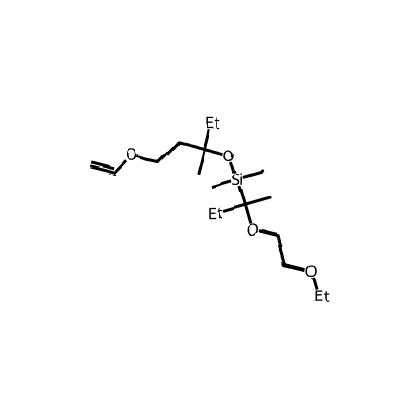 C=COCCC(C)(CC)O[Si](C)(C)C(C)(CC)OCCOCC